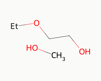 CCOCCO.CO